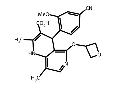 COc1cc(C#N)ccc1C1C(C(=O)O)=C(C)Nc2c(C)cnc(OC3COC3)c21